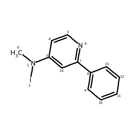 CN(I)c1ccnc(-c2ccccc2)c1